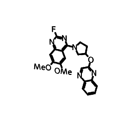 COc1cc2nc(F)nc(N3CCC(Oc4cnc5ccccc5n4)C3)c2cc1OC